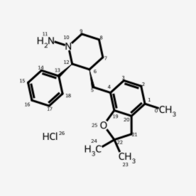 Cc1ccc(C[C@@H]2CCCN(N)[C@@H]2c2ccccc2)c2c1CC(C)(C)O2.Cl